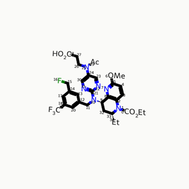 CCOC(=O)N1c2ccc(OC)nc2[C@@H](N(Cc2cc(CF)cc(C(F)(F)F)c2)c2ncc(N(CCC(=O)O)C(C)=O)cn2)C[C@H]1CC